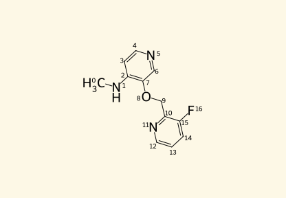 CNc1ccncc1OCc1ncccc1F